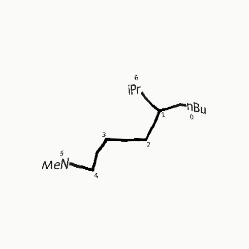 CCCCC(CCCNC)C(C)C